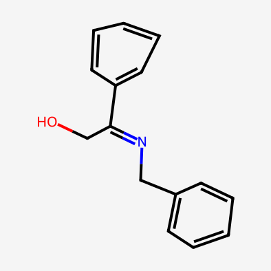 OCC(=NCc1ccccc1)c1ccccc1